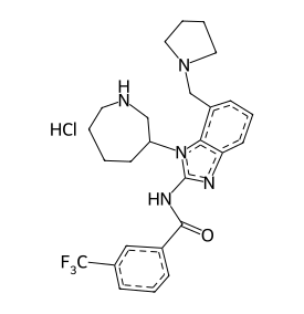 Cl.O=C(Nc1nc2cccc(CN3CCCC3)c2n1C1CCCCNC1)c1cccc(C(F)(F)F)c1